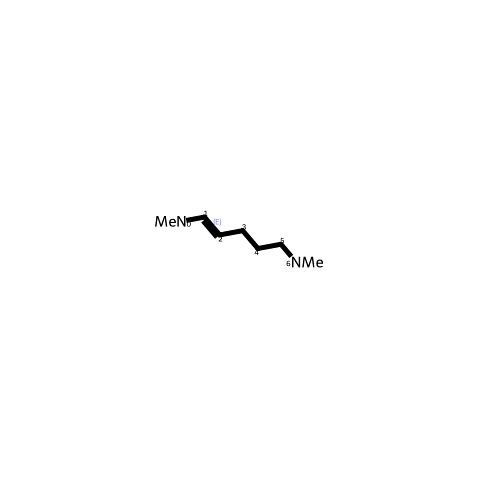 CN/C=C/CCCNC